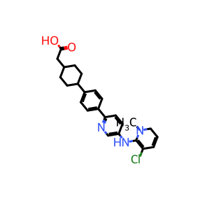 CN1CC=CC(Cl)=C1Nc1ccc(-c2ccc(C3CCC(CC(=O)O)CC3)cc2)nc1